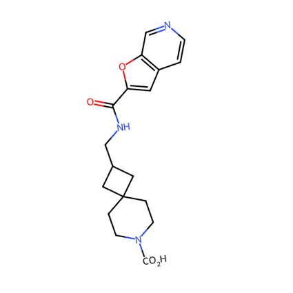 O=C(NCC1CC2(CCN(C(=O)O)CC2)C1)c1cc2ccncc2o1